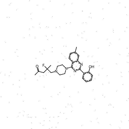 CC(=O)CC(C)(F)CN1CCN(c2nc(-c3ccccc3O)nc3cc(C)ccc23)CC1